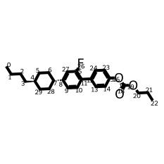 CCCC[C@H]1CC[C@H](c2ccc(-c3ccc(OC(=O)OCCC)cc3)c(F)c2)CC1